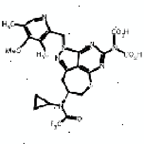 COc1c(C)cnc(Cn2nc3c4c(nc(N(C(=O)O)C(=O)O)nc42)SC[C@@H](N(C(=O)C(F)(F)F)C2CC2)C3)c1C